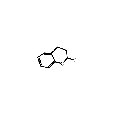 ClC1CCc2ccccc2O1